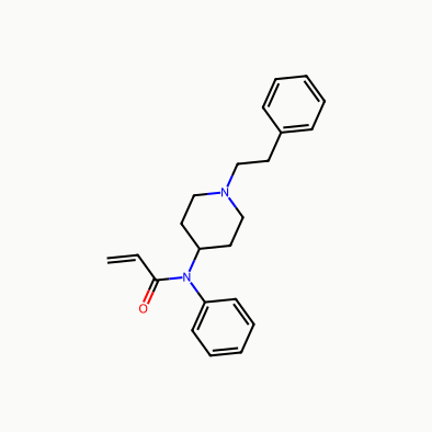 C=CC(=O)N(c1ccccc1)C1CCN(CCc2ccccc2)CC1